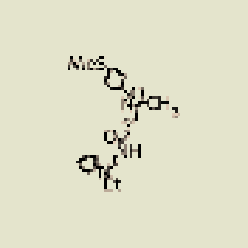 CCN(CCNC(=O)CSCc1nc(-c2ccc(SC)cc2)oc1C)c1ccccc1